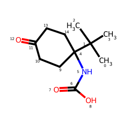 CC(C)(C)C1(NC(=O)O)CCC(=O)CC1